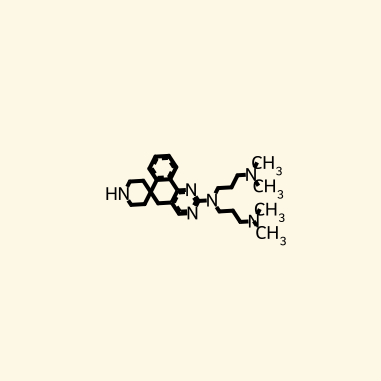 CN(C)CCCN(CCCN(C)C)c1ncc2c(n1)-c1ccccc1C1(CCNCC1)C2